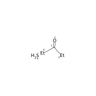 CCC(=O)CC.S